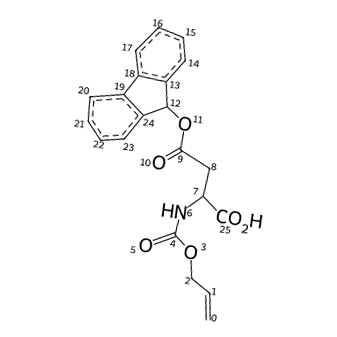 C=CCOC(=O)NC(CC(=O)OC1c2ccccc2-c2ccccc21)C(=O)O